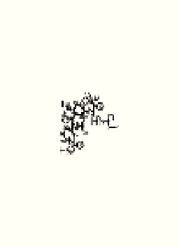 CCC(=O)NCCN1C(=O)C(C)(C)Oc2cc(C(F)F)c(C(=O)N(C(C)C)[C@@H]3CCCN(C(=O)O)C3)cc21